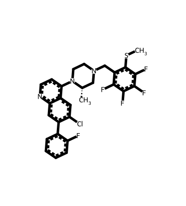 CSc1c(F)c(F)c(F)c(F)c1CN1CCN(c2ccnc3cc(-c4ccccc4F)c(Cl)cc23)[C@@H](C)C1